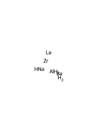 [AlH3].[BaH2].[La].[NaH].[Zr]